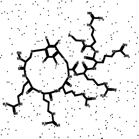 CC(=O)CNC(=O)C(CCCNC(=N)N)NC(=O)C(CCCNC(=N)N)NC(=O)C(CCCNC(=N)N)NC(=O)C1CSc2c(F)c(F)c(c(F)c2F)SCC(NO)C(=O)NC(CCCNC(=N)N)C(=O)NC(CCCNC(=N)N)C(=O)NC(CCCNC(=N)N)C(=O)N1